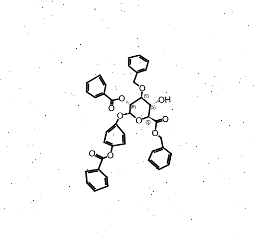 O=C(Oc1ccc(OC2O[C@H](C(=O)OCc3ccccc3)[C@@H](O)[C@H](OCc3ccccc3)[C@H]2OC(=O)c2ccccc2)cc1)c1ccccc1